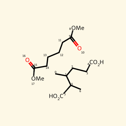 CC(CCC(=O)O)C(C)C(=O)O.COC(=O)CCCCC(=O)OC